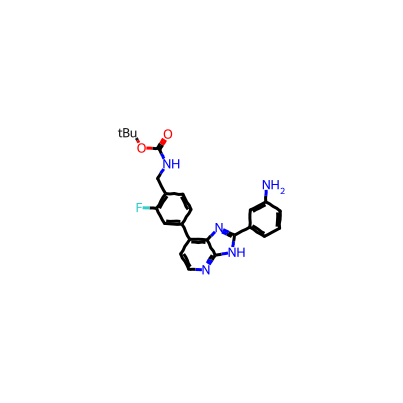 CC(C)(C)OC(=O)NCc1ccc(-c2ccnc3[nH]c(-c4cccc(N)c4)nc23)cc1F